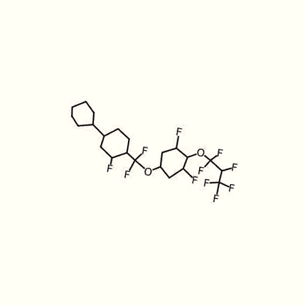 FC1CC(OC(F)(F)C2CCC(C3CCCCC3)CC2F)CC(F)C1OC(F)(F)C(F)C(F)(F)F